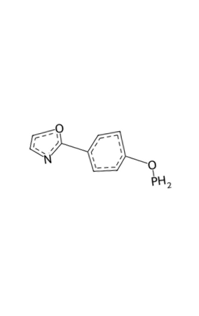 POc1ccc(-c2ncco2)cc1